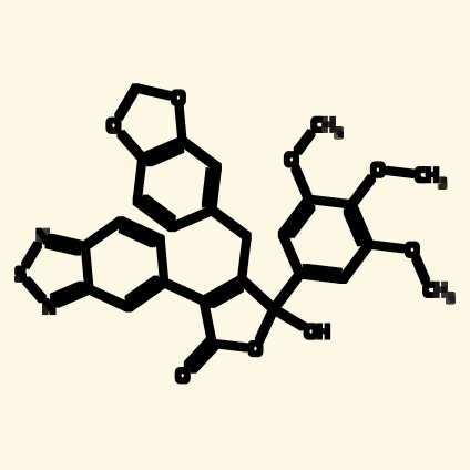 COc1cc(C2(O)OC(=O)C(c3ccc4nsnc4c3)=C2Cc2ccc3c(c2)OCO3)cc(OC)c1OC